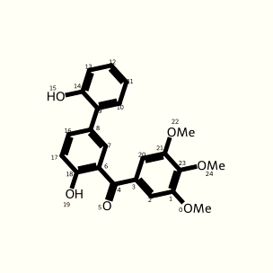 COc1cc(C(=O)c2cc(-c3ccccc3O)ccc2O)cc(OC)c1OC